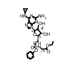 CCOC(=O)[C@H](C)N[P@](=O)(OC[C@H]1O[C@@H](n2cnc3c(NC4CC4)nc(N)nc32)[C@@](F)(CO)[C@@H]1O)Oc1ccccc1